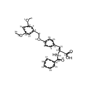 COc1cc(COc2ccc(C=C(NC(=O)c3ccccc3)C(=O)O)cc2)cc(OC)c1